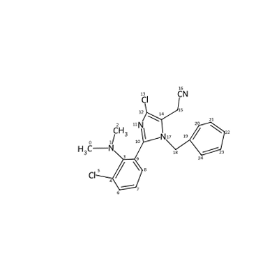 CN(C)c1c(Cl)cccc1-c1nc(Cl)c(CC#N)n1Cc1ccccc1